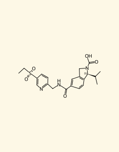 CCS(=O)(=O)c1ccc(CNC(=O)c2ccc3c(c2)CN(C(=O)O)[C@H]3C(C)C)nc1